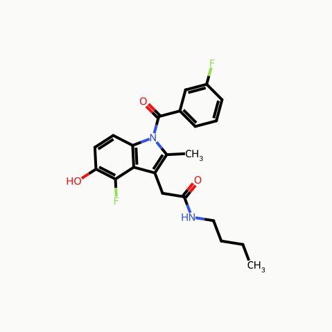 CCCCNC(=O)Cc1c(C)n(C(=O)c2cccc(F)c2)c2ccc(O)c(F)c12